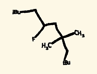 CCC(C)CC(F)CC(C)(C)CC(C)(C)C